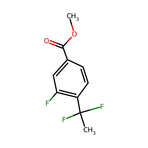 COC(=O)c1ccc(C(C)(F)F)c(F)c1